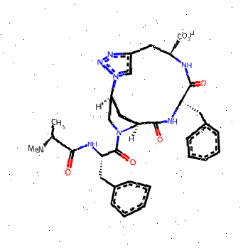 CN[C@@H](C)C(=O)N[C@@H](Cc1ccccc1)C(=O)N1C[C@@H]2C[C@H]1C(=O)N[C@@H](Cc1ccccc1)C(=O)N[C@H](C(=O)O)Cc1cn2nn1